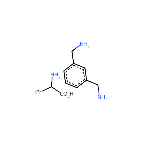 CC(C)C(N)C(=O)O.NCc1cccc(CN)c1